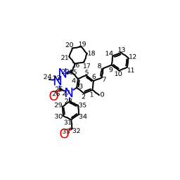 Cc1cc2c(cc1C=Cc1ccccc1)C(C1CCCCC1)=NN(C)C(=O)N2c1ccc(C=O)cc1